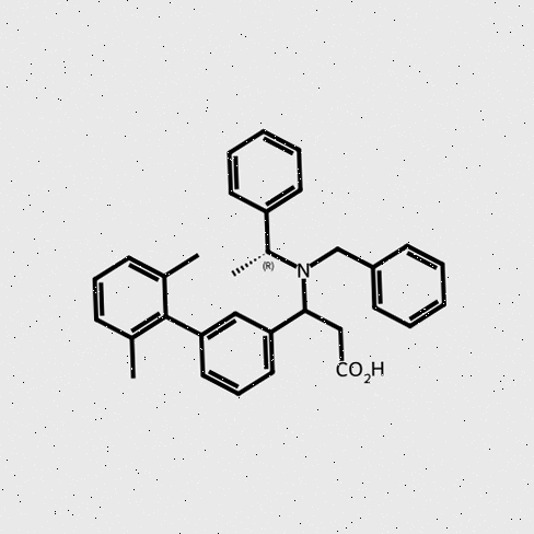 Cc1cccc(C)c1-c1cccc(C(CC(=O)O)N(Cc2ccccc2)[C@H](C)c2ccccc2)c1